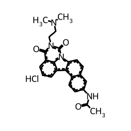 CC(=O)Nc1ccc2c(ccc3c2c2cccc4c(=O)n(CCN(C)C)c(=O)n3c42)c1.Cl